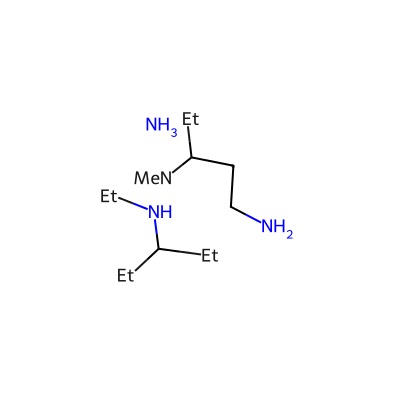 CCC(CCN)NC.CCNC(CC)CC.N